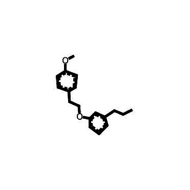 CCCc1cccc(OCCc2ccc(OC)cc2)c1